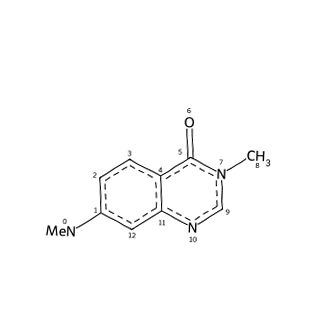 CNc1ccc2c(=O)n(C)cnc2c1